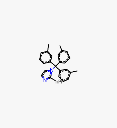 CCCc1nccn1C(c1cccc(C)c1)(c1cccc(C)c1)c1cccc(C)c1